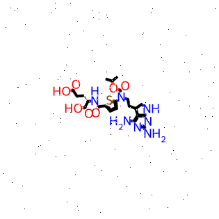 CC(C)OC(=O)N(CCC1CNc2nc(N)nc(N)c21)c1ccc(C(=O)N[C@@H](CCC(=O)O)C(=O)O)s1